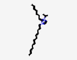 CCCCCCCCCCCCC[n+]1ccn(C(C)C)c1CCCCCCC